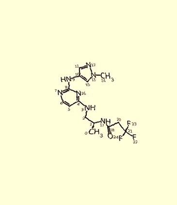 C[C@@H](CNc1ccnc(Nc2cnn(C)c2)n1)NC(=O)CC(F)(F)F